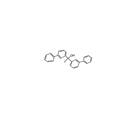 OC(I)(c1cccc(-c2ccccc2)c1)c1cccc(-c2ccccc2)c1